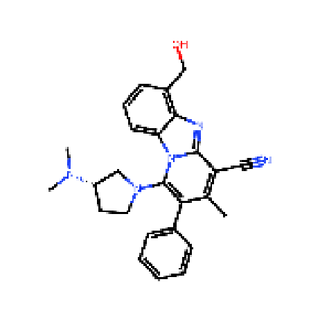 Cc1c(-c2ccccc2)c(N2CC[C@H](N(C)C)C2)n2c(nc3c(CO)cccc32)c1C#N